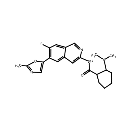 Cc1ncc(-c2cc3cc(NC(=O)C4CCCCC4N(C)C)ncc3cc2F)o1